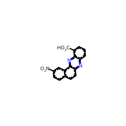 O=C(O)c1cccc2nc3ccc4ccc([N+](=O)[O-])cc4c3nc12